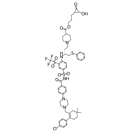 CC1(C)CCC(c2ccc(Cl)cc2)=C(CN2CCN(c3ccc(C(=O)NS(=O)(=O)c4ccc(N[C@H](CCN5CCC(C(=O)OCCCC6C(=O)C6O)CC5)CSc5ccccc5)c(S(=O)(=O)C(F)(F)F)c4)cc3)CC2)C1